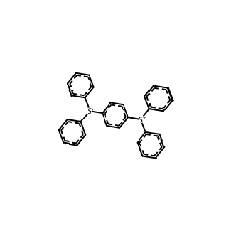 c1ccc([S+](c2ccccc2)c2ccc([S+](c3ccccc3)c3ccccc3)cc2)cc1